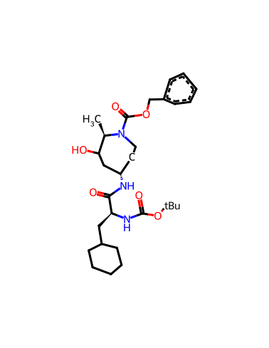 C[C@@H]1C(O)C[C@@H](NC(=O)[C@H](CC2CCCCC2)NC(=O)OC(C)(C)C)CCN1C(=O)OCc1ccccc1